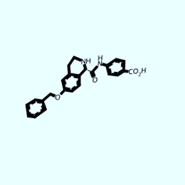 O=C(O)c1ccc(NC(=O)[C@H]2NCCc3cc(OCc4ccccc4)ccc32)cc1